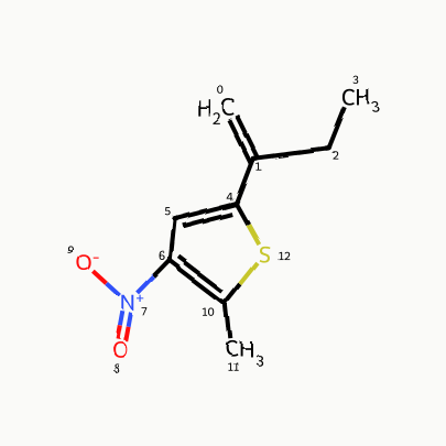 C=C(CC)c1cc([N+](=O)[O-])c(C)s1